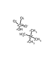 C[N+](C)(C)C.[O-][Cl+3]([O-])([O-])O